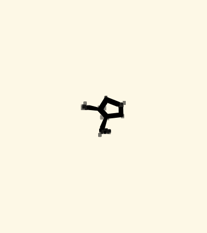 CS[C@@H]1COC[C@@H]1C(C)C